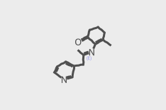 CC1=C(/N=C(\C)Cc2cccnc2)C(=O)CCC1